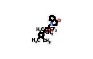 Cc1ccc(C(C)(C)CC(O)(Cn2ccc(=O)c3ccccc32)C(F)(F)F)cc1C